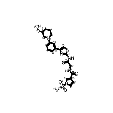 COC1CCCN(c2cccc(-c3csc(NC(=O)CNC(=O)c4ccn(S(C)(=O)=O)c4)n3)c2)C1